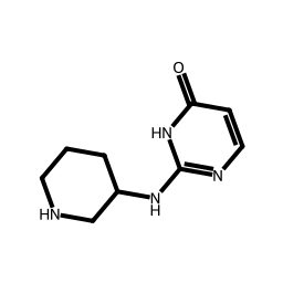 O=c1ccnc(NC2CCCNC2)[nH]1